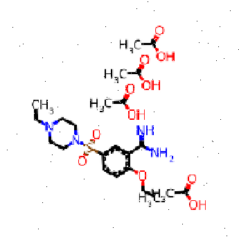 CC(=O)O.CC(=O)O.CC(=O)O.CC(=O)O.CCOc1ccc(S(=O)(=O)N2CCN(CC)CC2)cc1C(=N)N